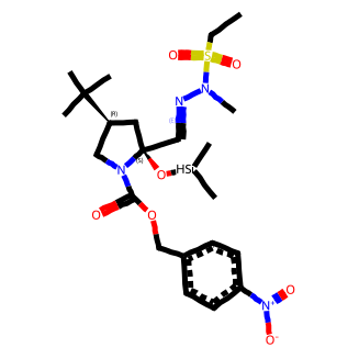 CCS(=O)(=O)N(C)/N=C/[C@@]1(O[SiH](C)C)C[C@H](C(C)(C)C)CN1C(=O)OCc1ccc([N+](=O)[O-])cc1